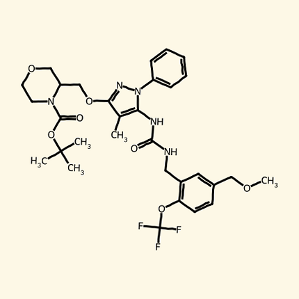 COCc1ccc(OC(F)(F)F)c(CNC(=O)Nc2c(C)c(OCC3COCCN3C(=O)OC(C)(C)C)nn2-c2ccccc2)c1